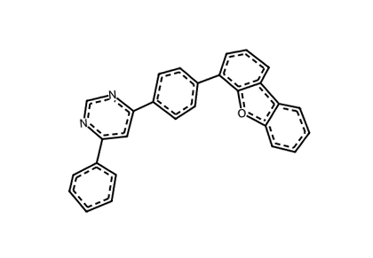 c1ccc(-c2cc(-c3ccc(-c4cccc5c4oc4ccccc45)cc3)ncn2)cc1